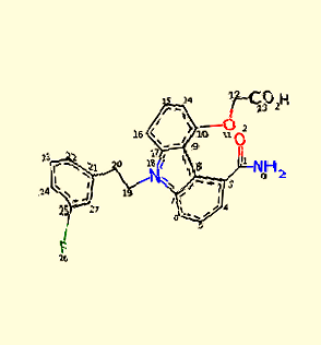 NC(=O)c1cccc2c1c1c(OCC(=O)O)cccc1n2CCc1cccc(F)c1